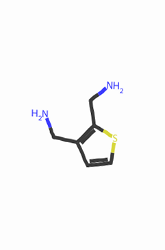 NCc1ccsc1CN